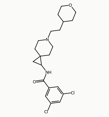 O=C(NC1CC12CCN(CCC1CCOCC1)CC2)c1cc(Cl)cc(Cl)c1